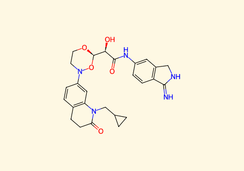 N=C1NCc2cc(NC(=O)[C@H](O)[C@@H]3OCCN(c4ccc5c(c4)N(CC4CC4)C(=O)CC5)O3)ccc21